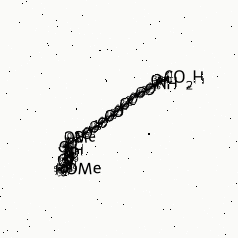 COC[C@H](OCCOCCOCCOCCOCCOCCOCCOCCOCCOCCOCCC(=O)NCCC(=O)O)C(=O)NCN1C(=O)CCN(c2cc(I)ccc2OC)C1=O